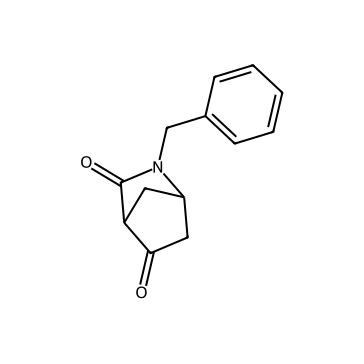 O=C1CC2CC1C(=O)N2Cc1ccccc1